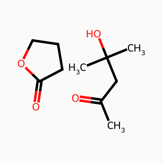 CC(=O)CC(C)(C)O.O=C1CCCO1